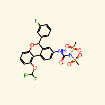 CS(=O)(=O)N(C(=O)Nc1ccc2c(c1)C(c1cccc(F)c1)Oc1cccc(OC(F)F)c1-2)S(C)(=O)=O